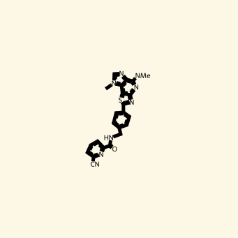 CNc1nc2nc(-c3ccc(CNC(=O)c4cccc(C#N)n4)cc3)sc2c2c1ncn2C